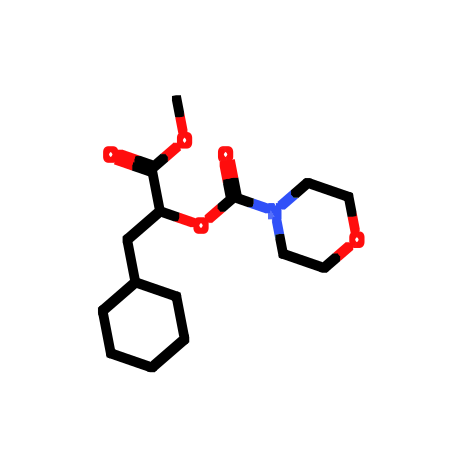 COC(=O)C(CC1CCCCC1)OC(=O)N1CCOCC1